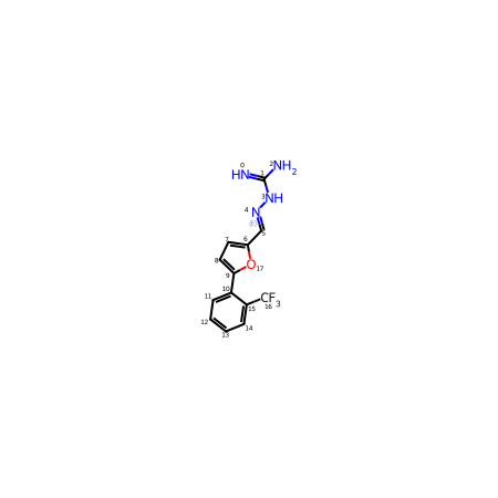 N=C(N)N/N=C/c1ccc(-c2ccccc2C(F)(F)F)o1